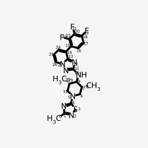 Cc1nsc(N2C[C@@H](C)C(Nc3nc4c(-c5ccc(F)c(F)c5F)cccn4n3)[C@@H](C)C2)n1